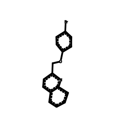 Brc1ccc(OCc2ccc3ccccc3n2)cc1